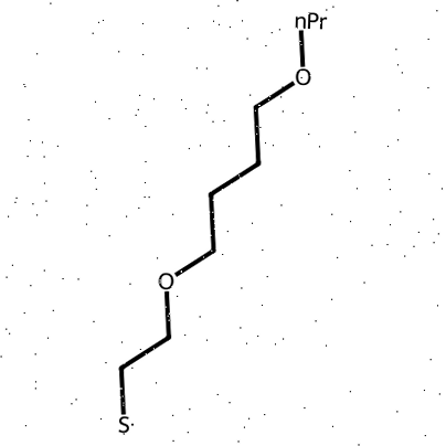 CCCOCCCCOCC[S]